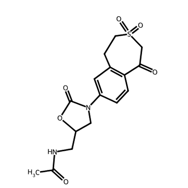 CC(=O)NCC1CN(c2ccc3c(c2)CCS(=O)(=O)CC3=O)C(=O)O1